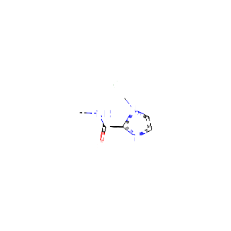 CNC(=O)c1nccn1C.Cl